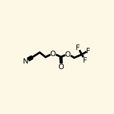 N#CCCOC(=O)OCC(F)(F)F